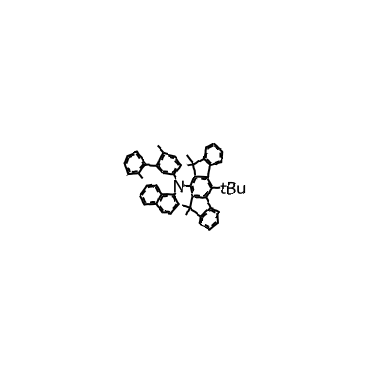 Cc1ccccc1-c1cc(N(c2c3c(c(C(C)(C)C)c4c2C(C)(C)c2ccccc2-4)-c2ccccc2C3(C)C)c2cccc3ccccc23)ccc1C